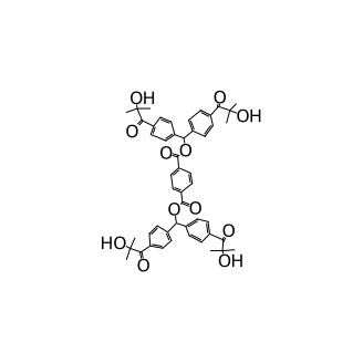 CC(C)(O)C(=O)c1ccc(C(OC(=O)c2ccc(C(=O)OC(c3ccc(C(=O)C(C)(C)O)cc3)c3ccc(C(=O)C(C)(C)O)cc3)cc2)c2ccc(C(=O)C(C)(C)O)cc2)cc1